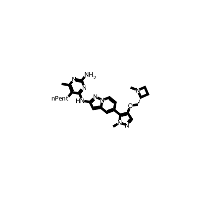 CCCCCc1c(C)nc(N)nc1Nc1cc2cc(-c3c(OC[C@H]4CCN4C)cnn3C)ccn2n1